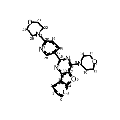 c1ccc2c(c1)oc1c(N3CCOCC3)nc(-c3ccc(N4CCOCC4)nc3)nc12